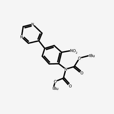 CC(C)(C)OC(=O)N(C(=O)OC(C)(C)C)c1ccc(-c2cncnc2)cc1[N+](=O)[O-]